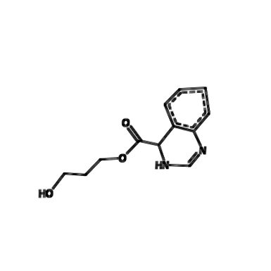 O=C(OCCCO)C1NC=Nc2ccccc21